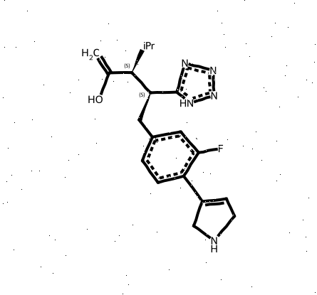 C=C(O)[C@@H](C(C)C)[C@H](Cc1ccc(C2=CCNC2)c(F)c1)c1nnn[nH]1